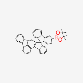 CC1(C)OB(c2ccc3c(c2)-c2ccccc2C32c3ccccc3-c3c2cc2c4c(cccc34)-c3ccccc3-2)OC1(C)C